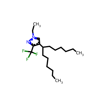 CCCCCCC(CCCCCC)c1cn(CC)nc1C(F)(F)F